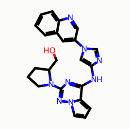 OCC1CCCN1c1nc(Nc2cn(-c3cnc4ccccc4c3)cn2)c2cccn2n1